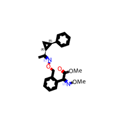 CO/N=C(\C(=O)OC)c1ccccc1CO/N=C(\C)[C@@H]1C[C@H]1c1ccccc1